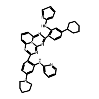 C1=CC2=NC(c3ccc(C4CCCCC4)cc3Nc3ccccn3)=NC3=NC(c4ccc(N5CCCCC5)cc4Nc4ccccn4)=NC(=C1)N23